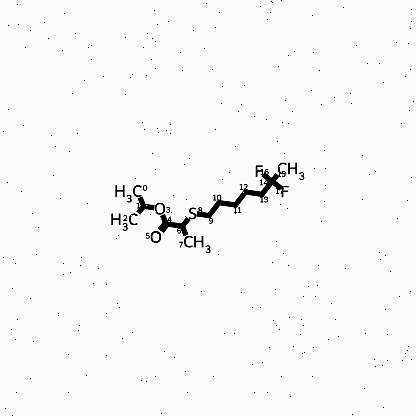 CC(C)OC(=O)C(C)SCCCCCC(C)(F)F